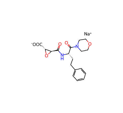 O=C([O-])[C@H]1O[C@@H]1C(=O)N[C@@H](CCc1ccccc1)C(=O)N1CCOCC1.[Na+]